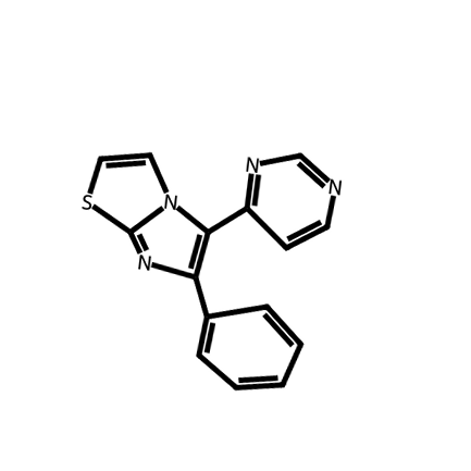 c1ccc(-c2nc3sccn3c2-c2ccncn2)cc1